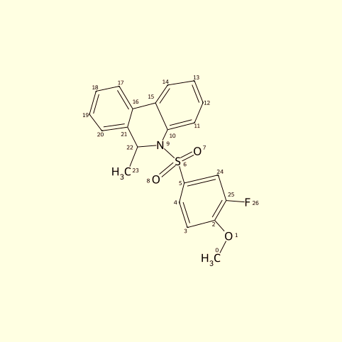 COc1ccc(S(=O)(=O)N2c3ccccc3-c3ccccc3C2C)cc1F